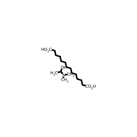 CC(O)N(C)C.O=C(O)CCCCCCCCCCCCC(=O)O